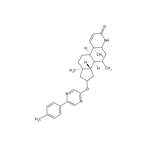 Cc1ccc(-c2cnc(OC3C[C@H]4[C@@H]5C(C)CC6NC(=O)C=C[C@]6(C)[C@@H]5CC[C@]4(C)C3)cn2)cc1